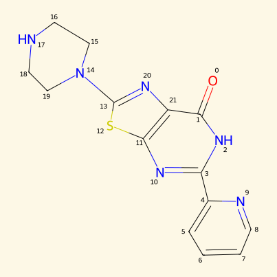 O=c1[nH]c(-c2ccccn2)nc2sc(N3CCNCC3)nc12